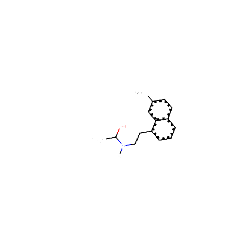 COc1ccc2cccc(CCN(C(C)=O)C(O)C(=O)O)c2c1